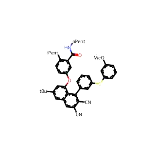 CCCCCNC(=O)c1cc(Oc2cc(C(C)(C)C)cc3cc(C#N)c(C#N)c(-c4cccc(Sc5cccc(OC)c5)c4)c23)ccc1C(C)CCC